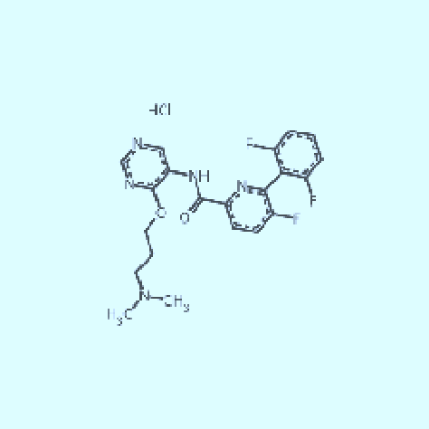 CN(C)CCCOc1ncncc1NC(=O)c1ccc(F)c(-c2c(F)cccc2F)n1.Cl